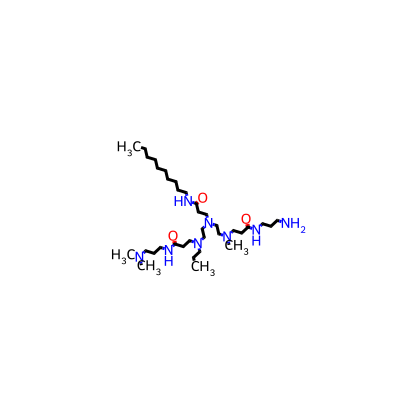 CCCCCCCCCCNC(=O)CCN(CCN(C)CCC(=O)NCCCN)CCN(CCC)CCC(=O)NCCCN(C)C